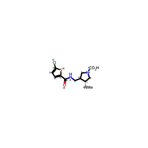 CN[C@H]1CN(C(=O)O)CC1CNC(=O)c1ccc(Cl)s1